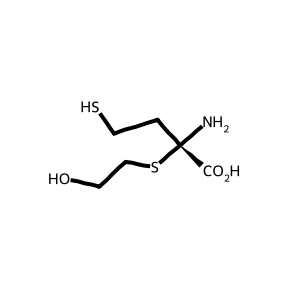 N[C@@](CCS)(SCCO)C(=O)O